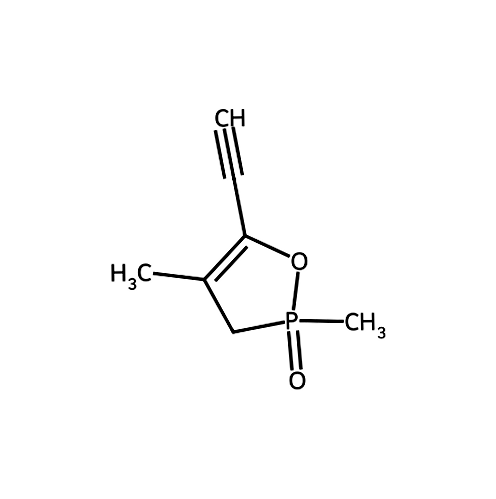 C#CC1=C(C)CP(C)(=O)O1